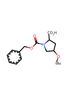 CC(C)(C)OC1CC(C(=O)O)N(C(=O)OCc2ccccc2)C1